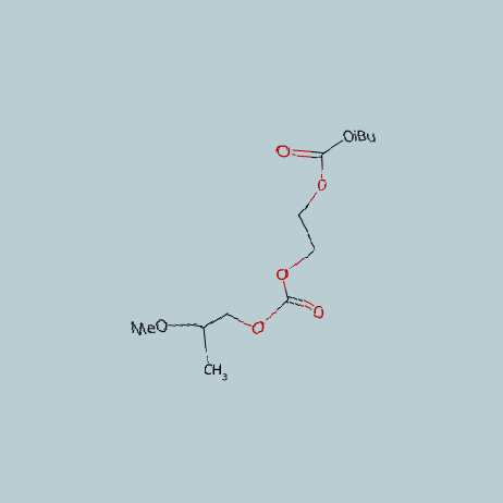 COC(C)COC(=O)OCCOC(=O)OCC(C)C